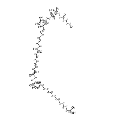 O=[C]CCCC(=O)CC[C@H](NC(=O)CC[C@H](NC(=O)COCCOCCNC(=O)COCCOCCNC(=O)CC[C@H](NC(=O)CCCCCCCCCCCCCCC(=O)O)C(=O)O)C(=O)O)C(=O)O